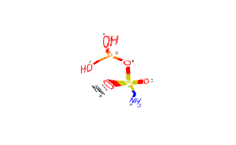 NS(=O)(=O)OP(O)O.[Ni]